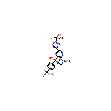 CN1CC(C)(C(O)(c2ccc(C(C)(C)C(F)(F)F)cc2)c2cncc(-c3noc(C(C)(C)O)n3)c2)C1